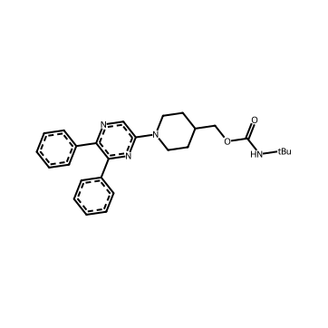 CC(C)(C)NC(=O)OCC1CCN(c2cnc(-c3ccccc3)c(-c3ccccc3)n2)CC1